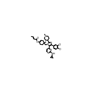 C/C=C/C(=O)OC1=CCC(C)(Cn2c(C3CCN(C)CC3)nc(-c3ccc(Cl)c(Cl)c3)c2-c2ccnc(NC3CC3)n2)CC1